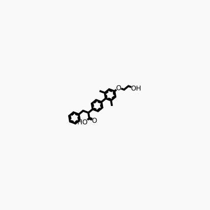 Cc1cc(OCCO)cc(C)c1-c1ccc(C(Cc2ccccc2)C(=O)O)cc1